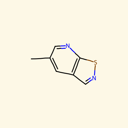 Cc1cnc2sncc2c1